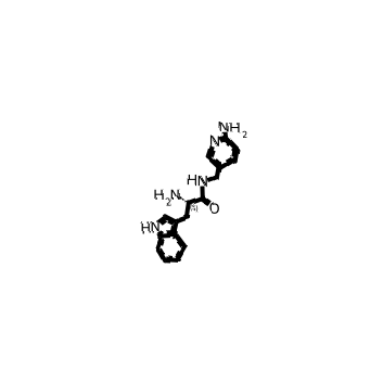 Nc1ccc(CNC(=O)[C@@H](N)Cc2c[nH]c3ccccc23)cn1